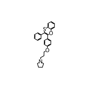 c1ccc(C2=C(c3ccc(OCCCN4CCCC4)cc3)Oc3ccccc3S2)cc1